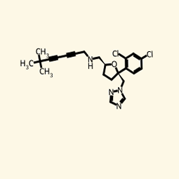 CC(C)(C)C#CC#CCNC[C@@H]1CC[C@@](Cn2cncn2)(c2ccc(Cl)cc2Cl)O1